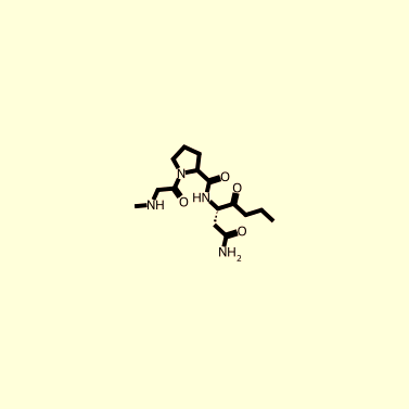 CCCC(=O)[C@H](CC(N)=O)NC(=O)C1CCCN1C(=O)CNC